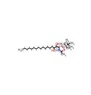 CCCCCCCCCCCCCC[C@@H](O)[C@@H](O)[C@H](CO[Si](C)(C)C(C)(C)C)NC(C)=O